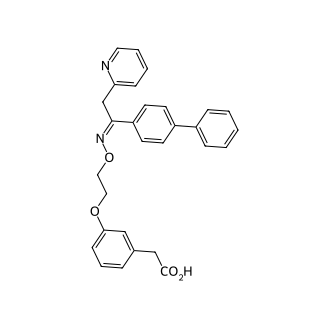 O=C(O)Cc1cccc(OCCON=C(Cc2ccccn2)c2ccc(-c3ccccc3)cc2)c1